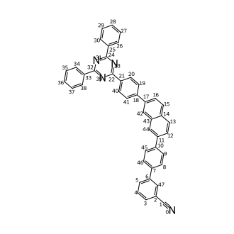 N#Cc1cccc(-c2ccc(-c3ccc4ccc(-c5ccc(-c6nc(-c7ccccc7)nc(-c7ccccc7)n6)cc5)cc4c3)cc2)c1